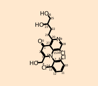 O=c1cc(CO)n(-c2c(Cl)cccc2Cl)c2c(Cl)cnc(CCC(O)CO)c12